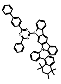 CC1CC(C)(C)c2c(-c3ccccc3-n3c4ccccc4c4cc5c6ccccc6n(-c6nc(-c7ccccc7)nc(-c7ccc(-c8ccccc8)cc7)n6)c5cc43)cccc2C1(C)C